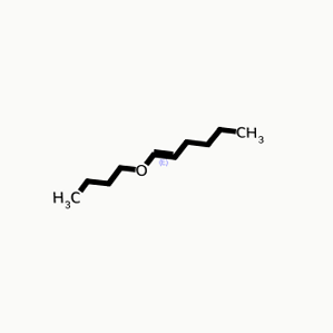 CCCC/C=C/OCCCC